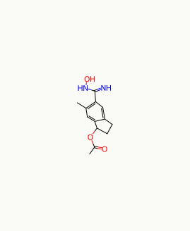 CC(=O)OC1CCc2cc(C(=N)NO)c(C)cc21